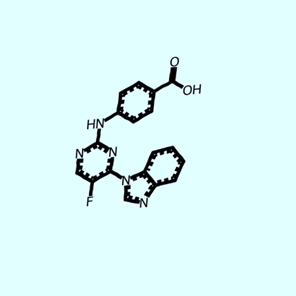 O=C(O)c1ccc(Nc2ncc(F)c(-n3cnc4ccccc43)n2)cc1